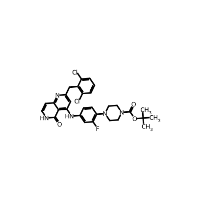 CC(C)(C)OC(=O)N1CCN(c2ccc(Nc3cc(Cc4c(Cl)cccc4Cl)nc4cc[nH]c(=O)c34)cc2F)CC1